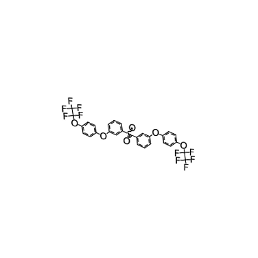 O=S(=O)(c1cccc(Oc2ccc(OC(F)(F)C(F)(F)F)cc2)c1)c1cccc(Oc2ccc(OC(F)(F)C(F)(F)F)cc2)c1